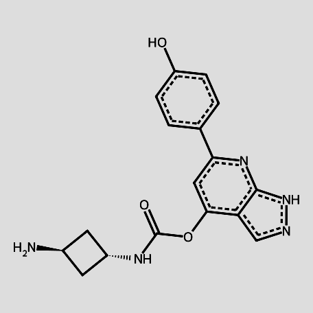 N[C@H]1C[C@H](NC(=O)Oc2cc(-c3ccc(O)cc3)nc3[nH]ncc23)C1